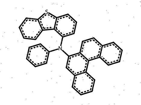 c1ccc(N(c2cc3ccccc3c3c2ccc2ccccc23)c2cccc3sc4ccccc4c23)cc1